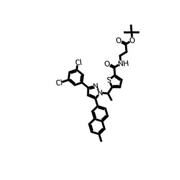 Cc1ccc2cc(-c3cc(-c4cc(Cl)cc(Cl)c4)nn3C(C)c3ccc(C(=O)NCCC(=O)OC(C)(C)C)s3)ccc2c1